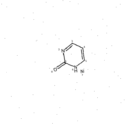 O=c1nccc[nH]1.[N]